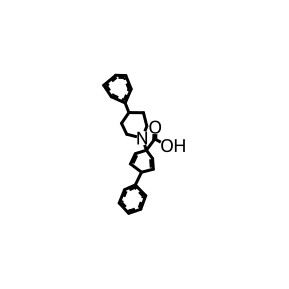 O=C(O)C1(N2CCC(c3ccccc3)CC2)C=CC(c2ccccc2)C=C1